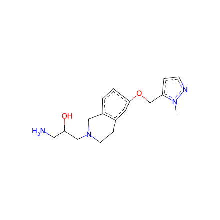 Cn1nccc1COc1ccc2c(c1)CCN(CC(O)CN)C2